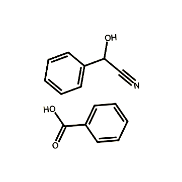 N#CC(O)c1ccccc1.O=C(O)c1ccccc1